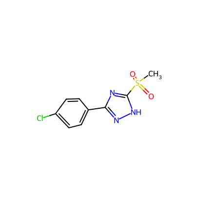 CS(=O)(=O)c1nc(-c2ccc(Cl)cc2)n[nH]1